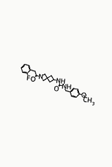 COc1ccc(CNC(=O)NC2CC3(C2)CN(C(=O)Cc2ccccc2F)C3)cc1